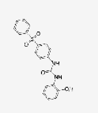 O=C(Nc1ccc(S(=O)(=O)c2ccccc2)cc1)Nc1ccccc1O